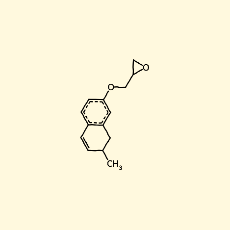 CC1C=Cc2ccc(OCC3CO3)cc2C1